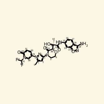 Cc1cc(N2CCO[C@H]([C@@](C)(O)C(=O)Nc3ccc4c(N)noc4c3)C2=O)nn1-c1ccc(=O)n(C(F)F)c1